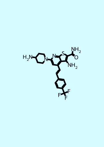 NC(=O)c1sc2nc(N3CCC(N)CC3)cc(C=Cc3ccc(C(F)(F)F)cc3)c2c1N